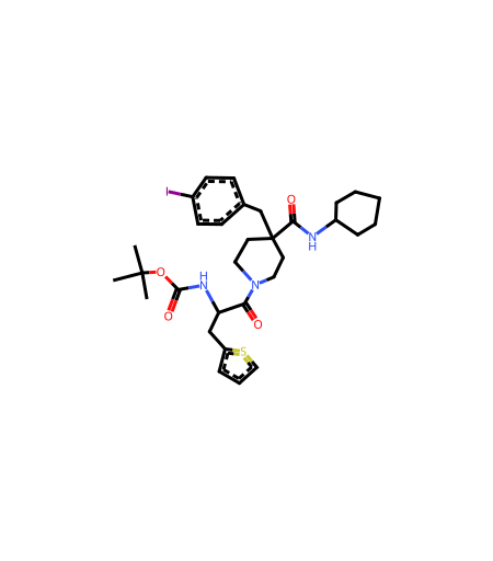 CC(C)(C)OC(=O)NC(Cc1cccs1)C(=O)N1CCC(Cc2ccc(I)cc2)(C(=O)NC2CCCCC2)CC1